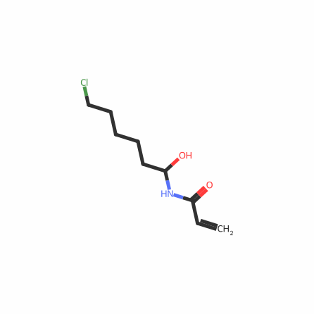 C=CC(=O)NC(O)CCCCCCl